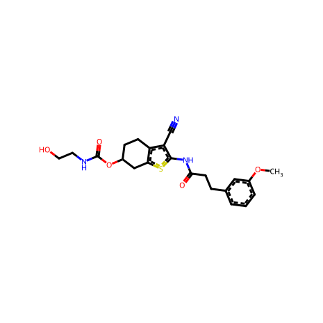 COc1cccc(CCC(=O)Nc2sc3c(c2C#N)CCC(OC(=O)NCCO)C3)c1